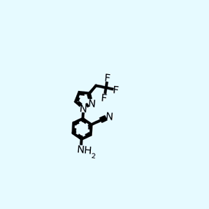 N#Cc1cc(N)ccc1-n1ccc(CC(F)(F)F)n1